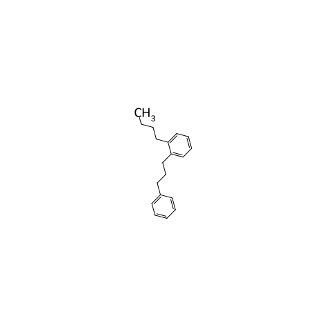 CCCCc1ccccc1CCCc1ccccc1